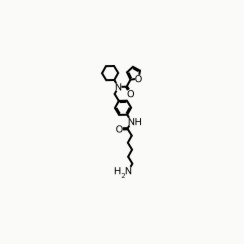 NCCCCCC(=O)Nc1ccc(CN(C(=O)c2ccco2)C2CCCCC2)cc1